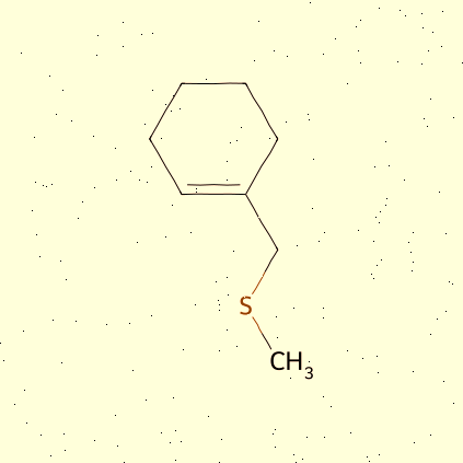 CSCC1=CCCCC1